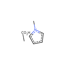 CC(=O)O.Cn1cccc1